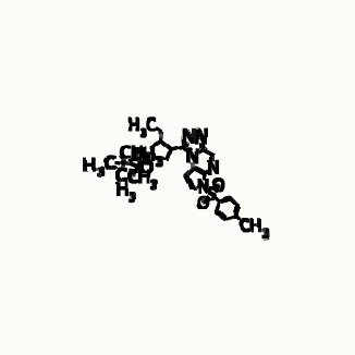 CCC1CC(O[Si](C)(C)C(C)(C)C)CC1c1nnc2cnc3c(ccn3S(=O)(=O)c3ccc(C)cc3)n12